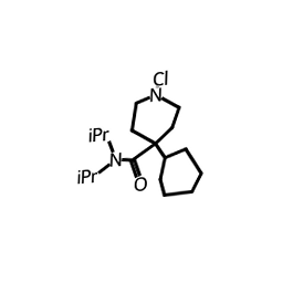 CC(C)N(C(=O)C1(C2CCCCC2)CCN(Cl)CC1)C(C)C